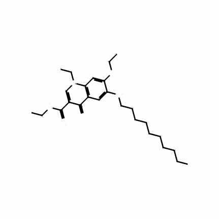 CCCCCCCCCCOc1cc2c(=O)c(C(=O)OCC)cn(CC)c2cc1OCC